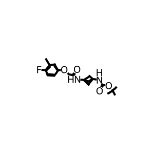 Cc1cc(OCC(=O)NC23CC(NC(=O)OC(C)(C)C)(C2)C3)ccc1F